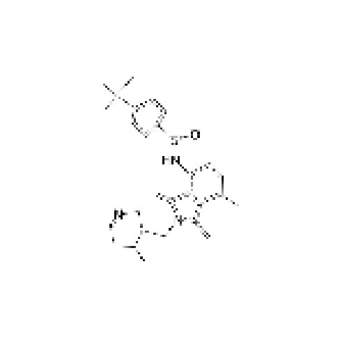 C=c1c2c(C)ccc(N[S+]([O-])c3ccc(C(C)(C)C)cc3)c2c(=C)n1CC1CN=CC=C1C